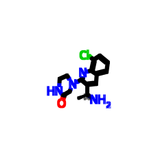 C[C@H](N)c1cc2cccc(Cl)c2nc1N1CCNC(=O)C1